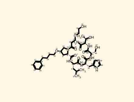 CC(C)C[C@H](NC(=O)[C@@H]1C[C@@H](OCCCCc2ccccc2)CN1C(=O)CCOCCO)C(=O)N[C@@H](Cc1cnc[nH]1)C(=O)N[C@@H](CO)C(=O)N[C@H](C(N)=O)[C@@H](C)O